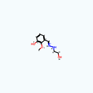 COc1c(O)cccc1/C=N/NCCO